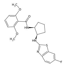 COc1cccc(OC)c1C(=O)N[C@H]1CCC[C@H]1Nc1nc2ccc(F)cc2s1